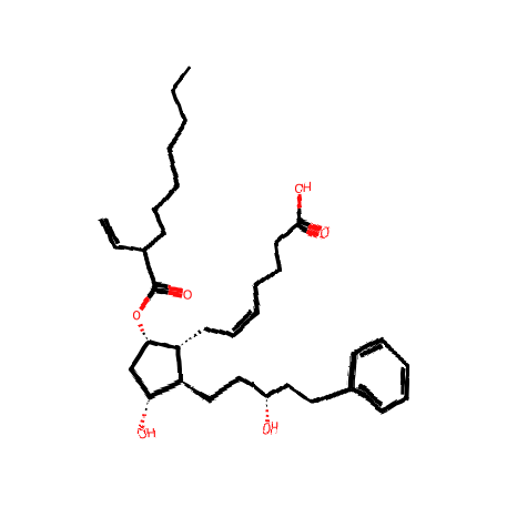 C=CC(CCCCCCC)C(=O)O[C@H]1C[C@@H](O)[C@H](CC[C@@H](O)CCc2ccccc2)[C@H]1C/C=C\CCCC(=O)O